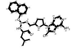 CC(C)CC(C=O)NP(OCC1CCC(n2c(Cl)nc3c(N)ncnc32)O1)Oc1cccc2ccccc12